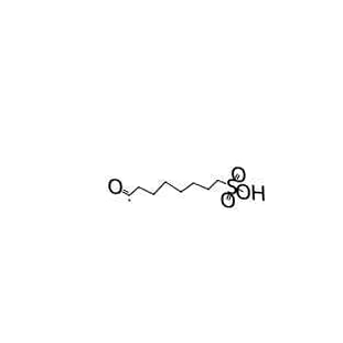 O=[C]CCCCCCCS(=O)(=O)O